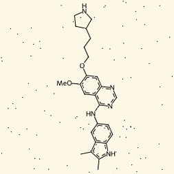 COc1cc2c(Nc3ccc4[nH]c(C)c(C)c4c3)ncnc2cc1OCCCC1CCNC1